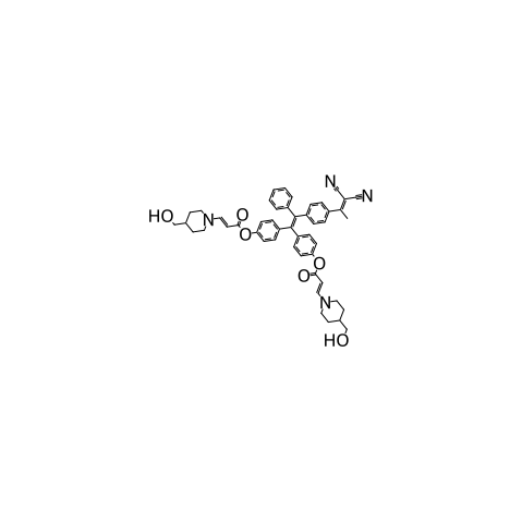 CC(=C(C#N)C#N)c1ccc(C(=C(c2ccc(OC(=O)/C=C/N3CCC(CO)CC3)cc2)c2ccc(OC(=O)/C=C/N3CCC(CO)CC3)cc2)c2ccccc2)cc1